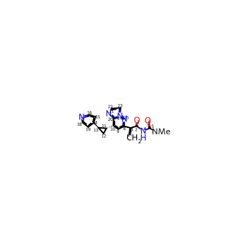 C=C(C(=O)NC(=O)NC)c1cc([C@@H]2C[C@H]2c2ccncc2)c2nccn2n1